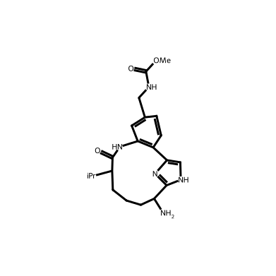 COC(=O)NCc1ccc2c(c1)NC(=O)C(C(C)C)CCCC(N)c1nc-2c[nH]1